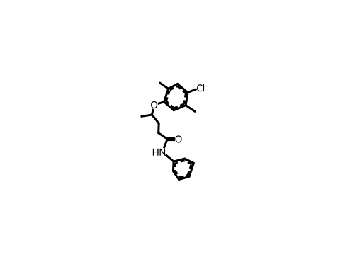 Cc1cc(OC(C)CCC(=O)Nc2ccccc2)c(C)cc1Cl